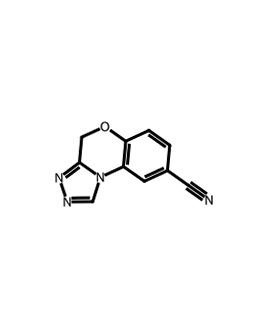 N#Cc1ccc2c(c1)-n1cnnc1CO2